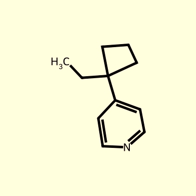 CCC1(c2ccncc2)CCC1